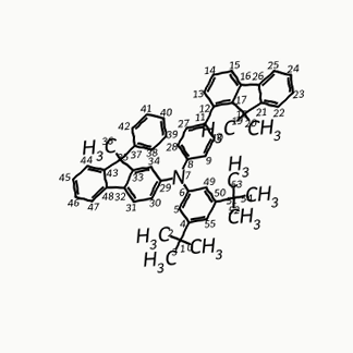 CC(C)(C)c1cc(N(c2ccc(-c3cccc4c3C(C)(C)c3ccccc3-4)cc2)c2ccc3c(c2)C(C)(c2ccccc2)c2ccccc2-3)cc(C(C)(C)C)c1